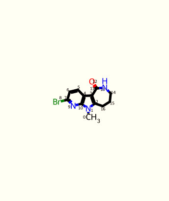 Cn1c2c(c3ccc(Br)nc31)C(=O)NCCC2